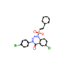 O=C(Nc1ccc(Br)cc1)c1cc(Br)ccc1NS(=O)(=O)C=Cc1ccccc1